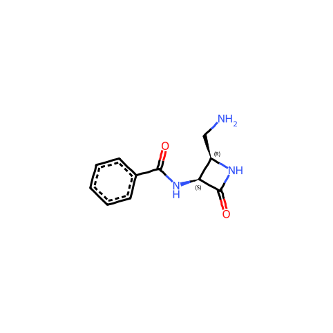 NC[C@H]1NC(=O)[C@H]1NC(=O)c1ccccc1